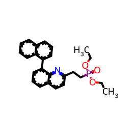 CCOP(=O)(CCc1ccc2cccc(-c3cccc4ccccc34)c2n1)OCC